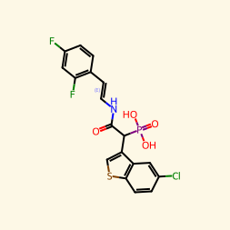 O=C(N/C=C/c1ccc(F)cc1F)C(c1csc2ccc(Cl)cc12)P(=O)(O)O